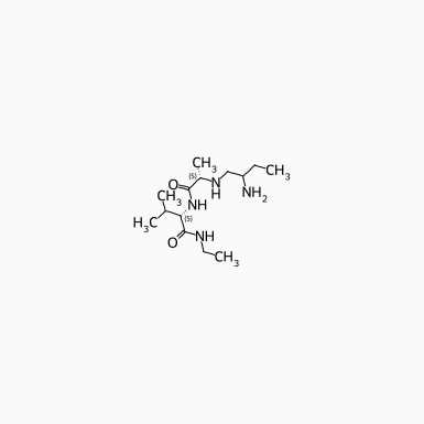 CCNC(=O)[C@@H](NC(=O)[C@H](C)NCC(N)CC)C(C)C